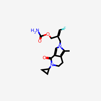 Cc1c2c(cn1C/C(=C\F)COC(N)=O)C(=O)N(C1CC1)CC2